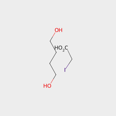 O=C(O)CI.OCCCCO